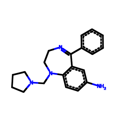 Nc1ccc2c(c1)C(c1ccccc1)=NCCN2CN1CCCC1